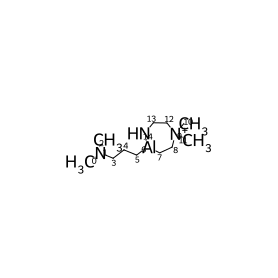 CN(C)CC[CH2][Al]1[CH2]C[N+](C)(C)CC[NH]1